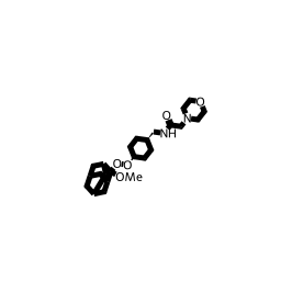 COC1(OO[C@H]2CC[C@@H](CNC(=O)CN3CCOCC3)CC2)C2CC3CC(C2)CC1C3